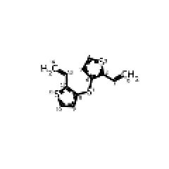 C=Cc1sccc1Sc1ccsc1C=C